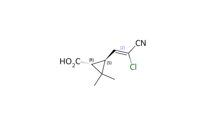 CC1(C)[C@H](/C=C(\Cl)C#N)[C@H]1C(=O)O